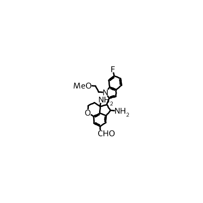 COCCn1c(C2C(N)c3cc(C=O)cc4c3C2(N)CCO4)cc2ccc(F)cc21